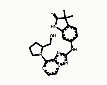 CC1(C)C(=O)Nc2cc(Nc3nc4c(N5CCCC5CO)nccn4n3)ccc21